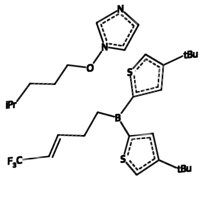 CC(C)(C)c1csc(B(CCC=CC(F)(F)F)c2cc(C(C)(C)C)cs2)c1.CC(C)CCCOn1ccnc1